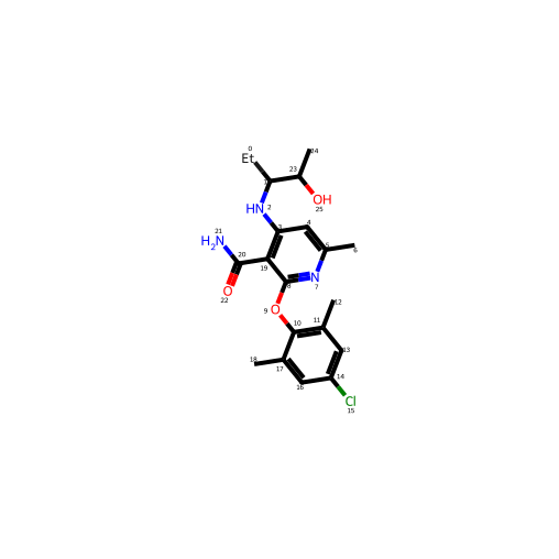 CCC(Nc1cc(C)nc(Oc2c(C)cc(Cl)cc2C)c1C(N)=O)C(C)O